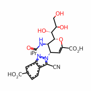 CC(C)C(=O)N[C@H]1[C@H]([C@H](O)[C@H](O)CO)OC(C(=O)O)=C[C@@H]1n1nc2cc(C(=O)O)ccc2c1C#N